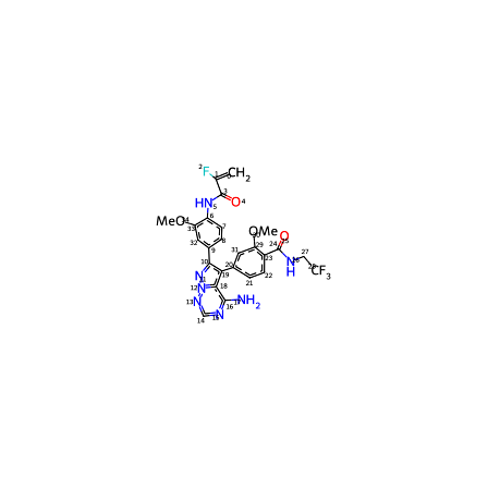 C=C(F)C(=O)Nc1ccc(-c2nn3ncnc(N)c3c2-c2ccc(C(=O)NCC(F)(F)F)c(OC)c2)cc1OC